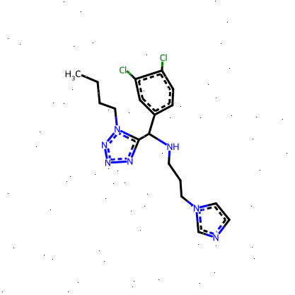 CCCCn1nnnc1C(NCCCn1ccnc1)c1ccc(Cl)c(Cl)c1